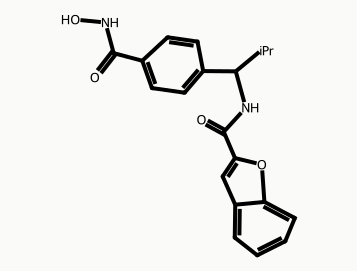 CC(C)C(NC(=O)c1cc2ccccc2o1)c1ccc(C(=O)NO)cc1